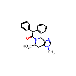 Cn1cnc2c1CC(C(=O)O)N(C(=O)C(c1ccccc1)c1ccccc1)C2